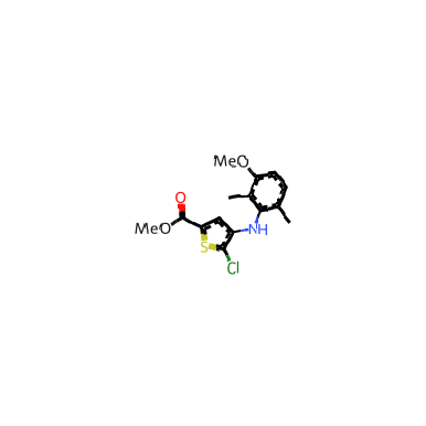 COC(=O)c1cc(Nc2c(C)ccc(OC)c2C)c(Cl)s1